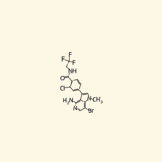 Cn1cc(-c2ccc(C(=O)NCC(F)(F)F)c(Cl)c2)c2c(N)ncc(Br)c21